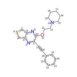 C(#Cc1nc2cscc2nc1OCCN1CCCCC1)c1ccccc1